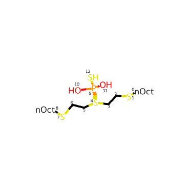 CCCCCCCCSCCS(CCSCCCCCCCC)=P(O)(O)S